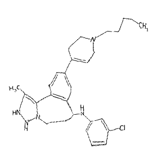 CCCCN1CC=C(c2ccc3c(c2)C(Nc2cccc(Cl)c2)CCN2NNC(C)=C32)CC1